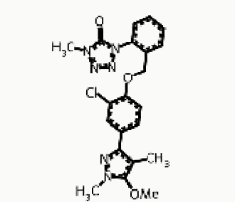 COc1c(C)c(-c2ccc(OCc3ccccc3-n3nnn(C)c3=O)c(Cl)c2)nn1C